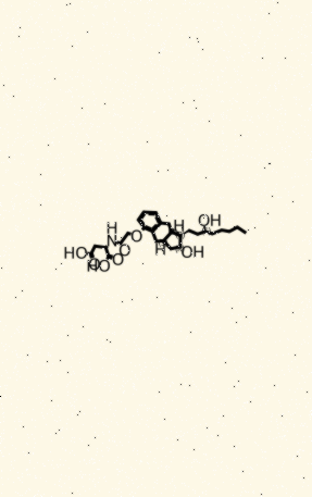 CCCCC[C@H](O)CC[C@@H]1[C@H]2Cc3cccc(OCC(=O)NC(CC(=O)O)C(=O)O)c3C[C@H]2C[C@H]1O